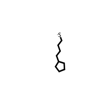 [S]CCCCC1CCCC1